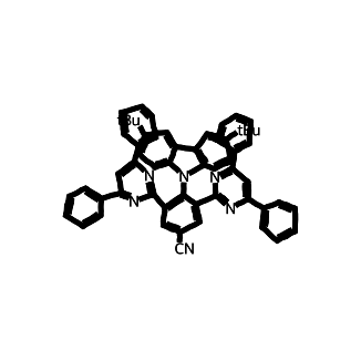 CC(C)(C)c1ccc2c(c1)c1cc(C(C)(C)C)ccc1n2-c1c(-c2nc(-c3ccccc3)cc(-c3ccccc3)n2)cc(C#N)cc1-c1nc(-c2ccccc2)cc(-c2ccccc2)n1